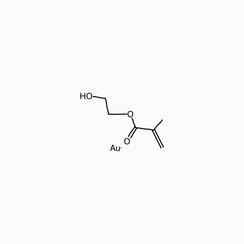 C=C(C)C(=O)OCCO.[Au]